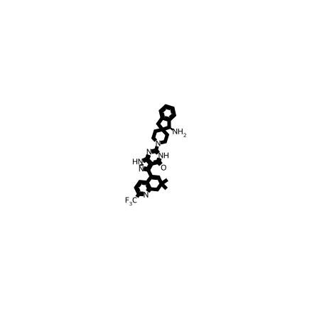 CC1(C)C=C(c2n[nH]c3nc(N4CCC5(CC4)Cc4ccccc4[C@H]5N)[nH]c(=O)c23)c2ccc(C(F)(F)F)nc2C1